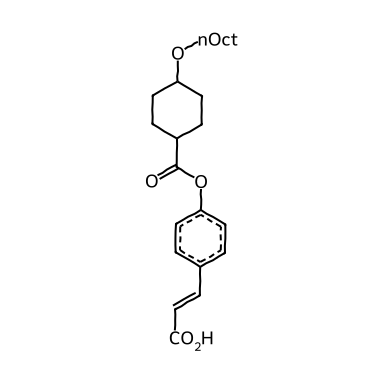 CCCCCCCCOC1CCC(C(=O)Oc2ccc(C=CC(=O)O)cc2)CC1